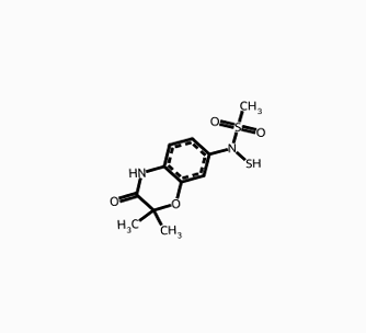 CC1(C)Oc2cc(N(S)S(C)(=O)=O)ccc2NC1=O